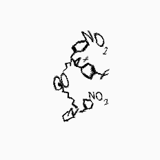 C[N+](CCCOC(=O)CCCCCC[N+]1(Cc2ccc([N+](=O)[O-])cc2)CCCCC1)(Cc1ccc(F)cc1)Cc1ccc([N+](=O)[O-])cc1